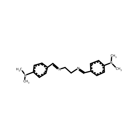 CN(C)c1ccc(C=NCCN=Cc2ccc(N(C)C)cc2)cc1